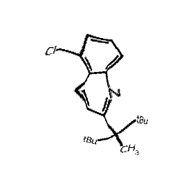 CC(C)(C)C(C)(c1ccc2c(Cl)cccc2n1)C(C)(C)C